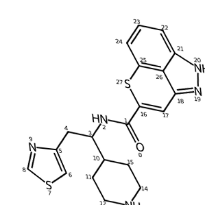 O=C(NC(Cc1cscn1)C1CCNCC1)C1=Cc2n[nH]c3cccc(c23)S1